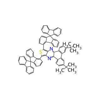 CC(C)(C)c1ccc2c(c1)c1cc(C(C)(C)C)ccc1c1nc3c(-c4cccc5c4-c4ccccc4C54c5ccccc5-c5ccccc54)sc(-c4cccc5c4-c4ccccc4C54c5ccccc5-c5ccccc54)c3nc21